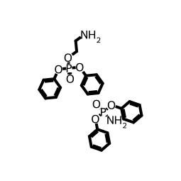 NCCOP(=O)(Oc1ccccc1)Oc1ccccc1.NP(=O)(Oc1ccccc1)Oc1ccccc1